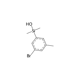 Cc1cc(Br)cc([Si](C)(C)O)c1